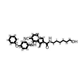 Cc1c(C(=O)NCCCCCCO)cn2ncc(C#N)c(Nc3ccc(Oc4ccccc4)cc3)c12